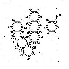 Fc1cccc(-c2c3ccccc3c(-c3cccc4oc5cc6ccccc6cc5c34)c3ccccc23)c1